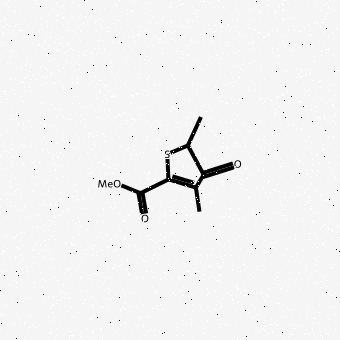 COC(=O)C1=C(C)C(=O)C(C)S1